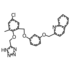 Cc1cc(Cl)cc(COc2cccc(OCc3ccc4ccccc4n3)c2)c1OCc1nnn[nH]1